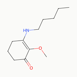 CCCCCNC1=C(OC)C(=O)CCC1